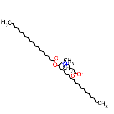 CCCCCCCCCCCCCCCCCC(=O)OC(CCCCCCCCCCCCCCCC)C[N+](C)(C)CCCC(=O)[O-]